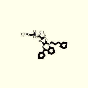 C[C@H](NC(=O)CCC(F)(F)F)C(=O)NC1N=C(c2ccccc2)c2ccccc2N(CCCc2ccccc2)C1=O